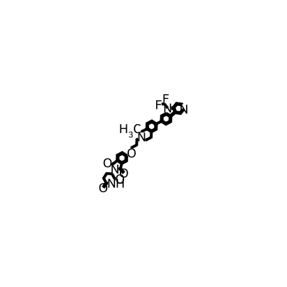 CC1c2ccc(-c3ccc4c5cnccc5n(C(F)F)c4c3)cc2CCN1CCCOc1ccc2c(c1)C(=O)N(C1CCC(=O)NC1=O)C2=O